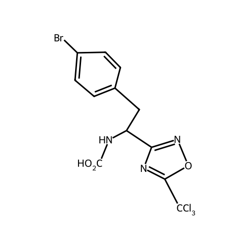 O=C(O)NC(Cc1ccc(Br)cc1)c1noc(C(Cl)(Cl)Cl)n1